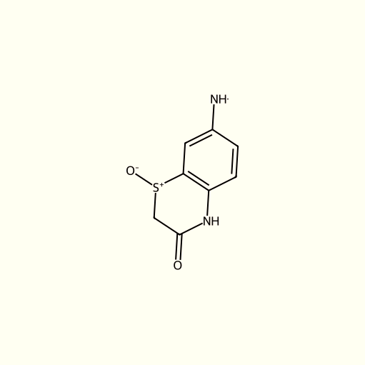 [NH]c1ccc2c(c1)[S+]([O-])CC(=O)N2